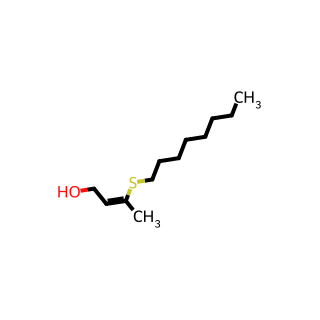 CCCCCCCCS/C(C)=C\CO